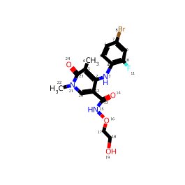 Cc1c(Nc2ccc(Br)cc2F)c(C(=O)NOCCO)cn(C)c1=O